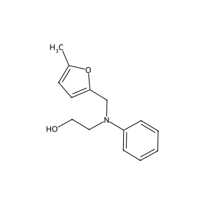 Cc1ccc(CN(CCO)c2ccccc2)o1